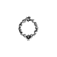 c1cc2c[n+](c1)CCCCCCCCCCCCc1ccc[n+](c1)CCCCCCCCCCCC2